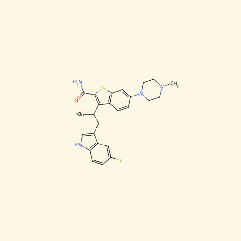 CCCCC(Cc1c[nH]c2ccc(F)cc12)c1c(C(N)=O)sc2cc(N3CCN(C)CC3)ccc12